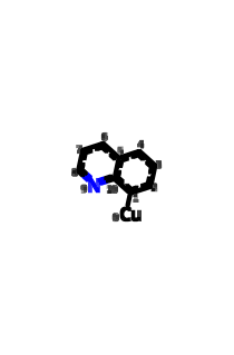 [Cu][c]1cccc2cccnc12